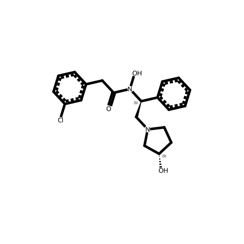 O=C(Cc1cccc(Cl)c1)N(O)[C@H](CN1CC[C@H](O)C1)c1ccccc1